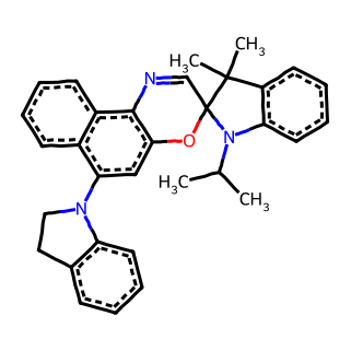 CC(C)N1c2ccccc2C(C)(C)C12C=Nc1c(cc(N3CCc4ccccc43)c3ccccc13)O2